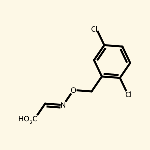 O=C(O)C=NOCc1cc(Cl)ccc1Cl